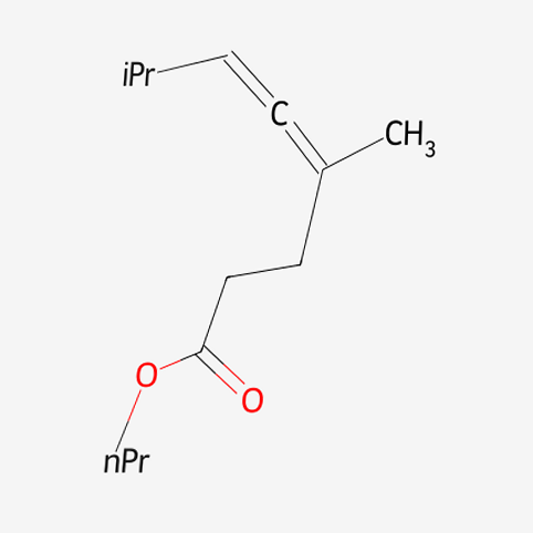 CCCOC(=O)CCC(C)=C=CC(C)C